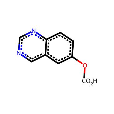 O=C(O)Oc1ccc2ncncc2c1